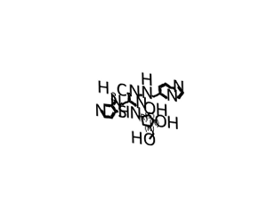 Cc1nc(NCc2ccc3nccn3c2)nc(N[C@@H]2C[C@H](CO)[C@@H](O)[C@H]2O)c1-c1nc2cnccc2s1